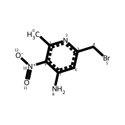 Cc1nc(CBr)cc(N)c1[N+](=O)[O-]